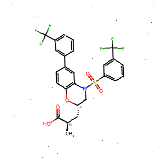 C[C@H](C[C@H]1CN(S(=O)(=O)c2cccc(C(F)(F)F)c2)c2cc(-c3cccc(C(F)(F)F)c3)ccc2O1)C(=O)O